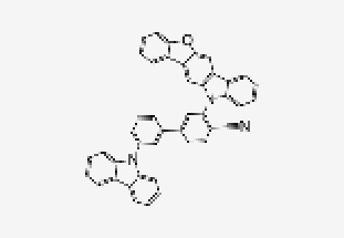 N#Cc1ccc(-c2cccc(-n3c4ccccc4c4ccccc43)c2)cc1-n1c2ccccc2c2cc3oc4ccccc4c3cc21